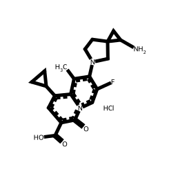 Cc1c(N2CCC3(CC3N)C2)c(F)cn2c(=O)c(C(=O)O)cc(C3CC3)c12.Cl